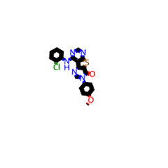 COc1ccc(-n2cnc3c(sc4ncnc(Nc5ccccc5Cl)c43)c2=O)cc1